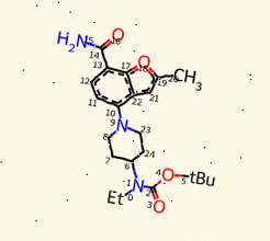 CCN(C(=O)OC(C)(C)C)C1CCN(c2ccc(C(N)=O)c3oc(C)cc23)CC1